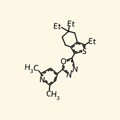 CCc1sc(-c2nnc(-c3cc(C)nc(C)c3)o2)c2c1CC(CC)(CC)CC2